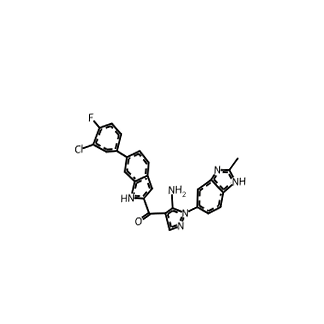 Cc1nc2cc(-n3ncc(C(=O)c4cc5ccc(-c6ccc(F)c(Cl)c6)cc5[nH]4)c3N)ccc2[nH]1